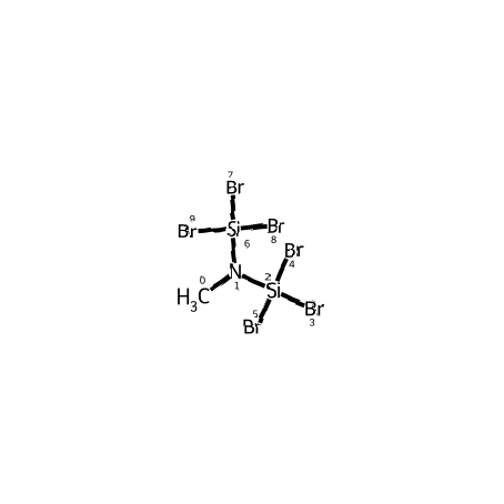 CN([Si](Br)(Br)Br)[Si](Br)(Br)Br